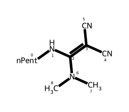 CCCCCNC(=C(C#N)C#N)N(C)C